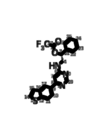 O=C(O[C@@H](CNc1cc(-c2ccc3sccc3c2)ncn1)c1ccccc1)C(F)(F)F